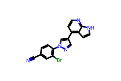 N#Cc1ccc(-n2cc(-c3ccnc4[nH]ccc34)cn2)c(Br)c1